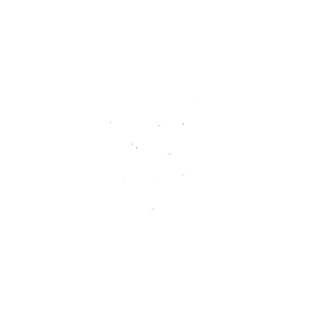 CC[N+](CC)(CC)CC.O=S(=O)([O-])CCCCCCCCF